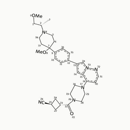 COC[C@H](C)N1CCC(OC)(c2ccc(-c3cc4c(N5CCN(C(=O)[C@H]6C[C@H](C#N)C6)CC5)ccnn4c3)cc2)CC1